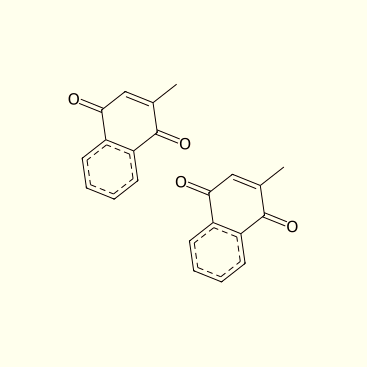 CC1=CC(=O)c2ccccc2C1=O.CC1=CC(=O)c2ccccc2C1=O